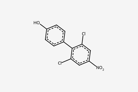 O=[N+]([O-])c1cc(Cl)c(-c2ccc(O)cc2)c(Cl)c1